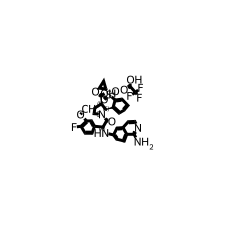 COc1cc([C@@H](Nc2ccc3c(N)nccc3c2)C(=O)N2CC[C@@H](C(=O)O)[C@H]2c2ccccc2S(=O)(=O)C2CC2)ccc1F.O=C(O)C(F)(F)F